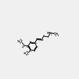 CNCC/N=C/c1ccc(C)c(OC)c1